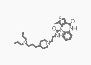 CCCN(CCC)CCCC1CCN(CCNC(=O)N2c3ccccc3NC(=O)c3csc(C)c32)CC1